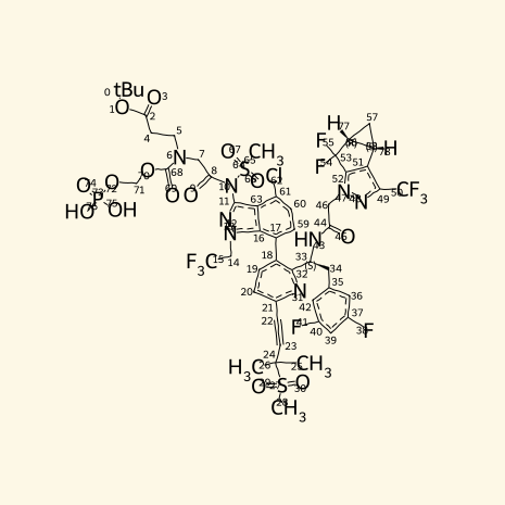 CC(C)(C)OC(=O)CCN(CC(=O)N(c1nn(CC(F)(F)F)c2c(-c3ccc(C#CC(C)(C)S(C)(=O)=O)nc3[C@H](Cc3cc(F)cc(F)c3)NC(=O)Cn3nc(C(F)(F)F)c4c3C(F)(F)[C@@H]3C[C@H]43)ccc(Cl)c12)S(C)(=O)=O)C(=O)OCOP(=O)(O)O